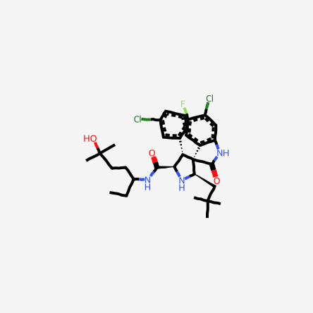 CCC(CCC(C)(C)O)NC(=O)[C@@H]1N[C@H](CC(C)(C)C)[C@]2(C(=O)Nc3cc(Cl)c(F)cc32)[C@H]1c1cccc(Cl)c1